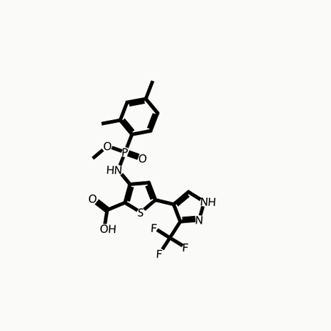 COP(=O)(Nc1cc(-c2c[nH]nc2C(F)(F)F)sc1C(=O)O)c1ccc(C)cc1C